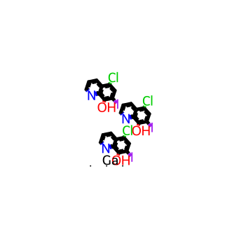 Oc1c(I)cc(Cl)c2cccnc12.Oc1c(I)cc(Cl)c2cccnc12.Oc1c(I)cc(Cl)c2cccnc12.[Ga]